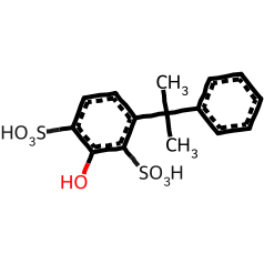 CC(C)(c1ccccc1)c1ccc(S(=O)(=O)O)c(O)c1S(=O)(=O)O